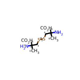 CC(N)(CSSCC(C)(N)C(=O)O)C(=O)O